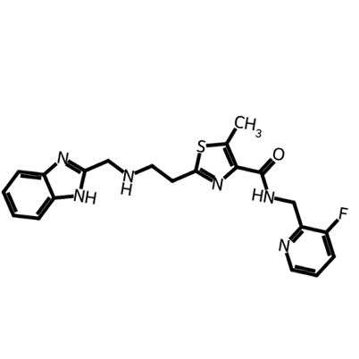 Cc1sc(CCNCc2nc3ccccc3[nH]2)nc1C(=O)NCc1ncccc1F